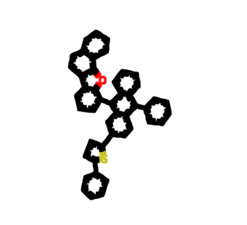 c1ccc(-c2ccc(-c3ccc4c(-c5ccccc5)c5ccccc5c(-c5cccc6c5oc5c7ccccc7ccc65)c4c3)s2)cc1